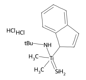 CC(C)(C)[NH][Ti]([CH3])([CH3])(=[SiH2])[CH]1C=Cc2ccccc21.Cl.Cl